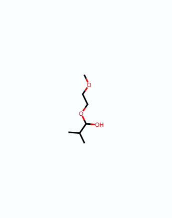 COCCOC(O)C(C)C